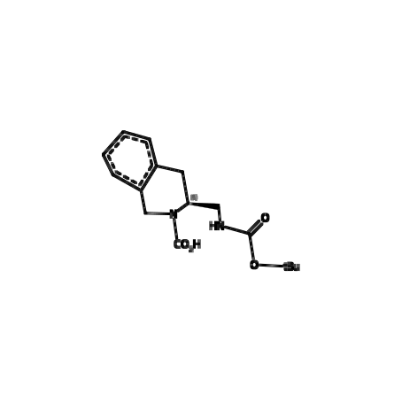 CC(C)(C)OC(=O)NC[C@@H]1Cc2ccccc2CN1C(=O)O